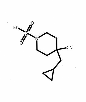 CCS(=O)(=O)N1CCC(C#N)(CC2CC2)CC1